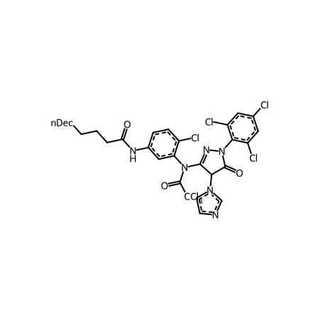 CCCCCCCCCCCCCC(=O)Nc1ccc(Cl)c(N(C(=O)C(Cl)(Cl)Cl)C2=NN(c3c(Cl)cc(Cl)cc3Cl)C(=O)C2n2ccnc2)c1